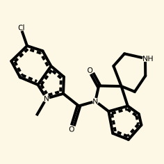 Cn1c(C(=O)N2C(=O)C3(CCNCC3)c3ccccc32)cc2cc(Cl)ccc21